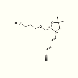 C#CC=CC=C[C@H]1OC(C)(C)O[C@H]1COCCCC(=O)O